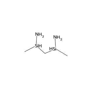 C[SiH](N)C[SiH](C)N